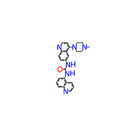 CN1CCN(c2ccnc3ccc(NC(=O)Nc4cccc5ncccc45)cc23)CC1